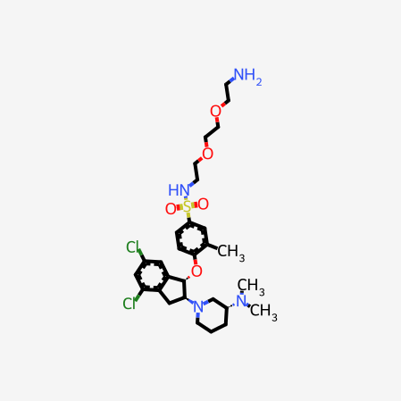 Cc1cc(S(=O)(=O)NCCOCCOCCN)ccc1O[C@H]1c2cc(Cl)cc(Cl)c2C[C@@H]1N1CCC[C@@H](N(C)C)C1